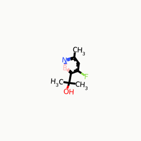 Cc1cc(F)c(C(C)(C)O)bn1